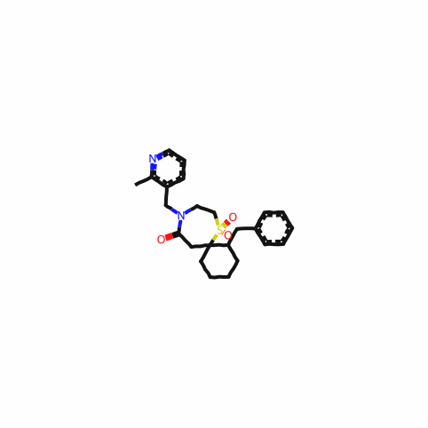 Cc1ncccc1CN1CCS(=O)(=O)C2(CCCCC2Cc2ccccc2)CC1=O